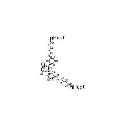 CCCCCCCC=CCCCCCc1cccc(C(OC(c2cccc(CCCCCC=CCCCCCCC)c2)C2CO2)C2CO2)c1